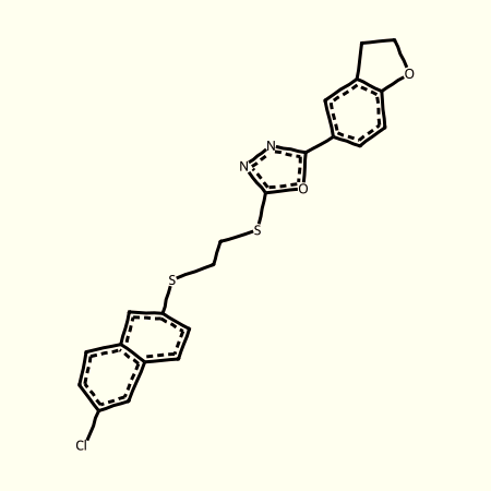 Clc1ccc2cc(SCCSc3nnc(-c4ccc5c(c4)CCO5)o3)ccc2c1